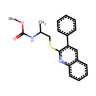 CC(CSc1nc2ccccc2cc1-c1ccccc1)NC(=O)OC(C)(C)C